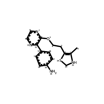 CC1=C(CCOc2nccnc2-c2ccc(N)cc2)SCN1